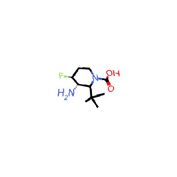 CC(C)(C)C1[C@H](N)[C@@H](F)CCN1C(=O)O